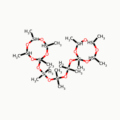 C[SiH]1O[SiH](C)O[Si](C)(O[Si](C)(C)O[Si](C)(C)O[Si](C)(C)O[Si]2(C)O[SiH](C)O[SiH](C)O[SiH](C)O2)O[SiH](C)O1